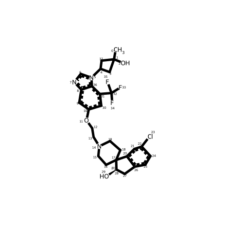 CC1(O)CC(n2cnc3cc(OCCN4CCC5(CC4)c4cc(Cl)ccc4C[C@H]5O)cc(C(F)(F)F)c32)C1